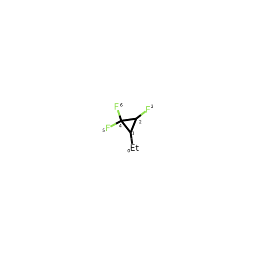 CCC1C(F)C1(F)F